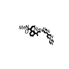 CNC(=O)c1ccnc2c(C(C)CCNc3cc(-c4ccc(N5CCN(C)CC5)nc4)ncn3)cccc12